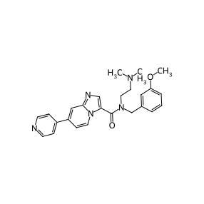 COc1cccc(CN(CCN(C)C)C(=O)c2cnc3cc(-c4ccncc4)ccn23)c1